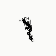 Cc1n[nH]c2ccc(NC(=O)c3ccc4nc(CN5CC=C(c6cccc(OCc7ccc(Cl)cc7F)n6)CC5)n(CC5CCO5)c4c3)cc12